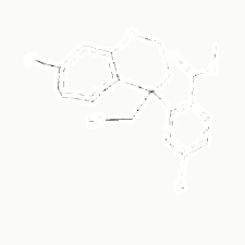 COC(=O)c1ccc(Br)cc1C1(CO)CCOc2cc(Cl)ccc21